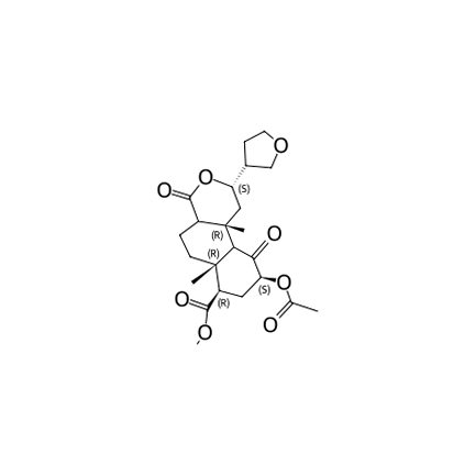 COC(=O)[C@@H]1C[C@H](OC(C)=O)C(=O)C2[C@@]3(C)C[C@@H](C4CCOC4)OC(=O)C3CC[C@]21C